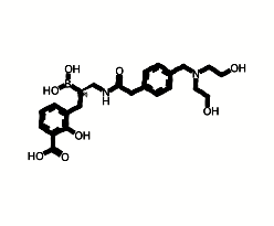 O=C(Cc1ccc(CN(CCO)CCO)cc1)NC[C@@H](Cc1cccc(C(=O)O)c1O)B(O)O